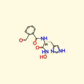 O=Cc1ccccc1C(=O)N[C@H](Cc1c[nH]cn1)C(=O)NO